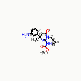 CC(C)(C)OC(=O)NC1=N[C@](C)(c2cccc(N)c2)CC(=O)N1CC1CC1